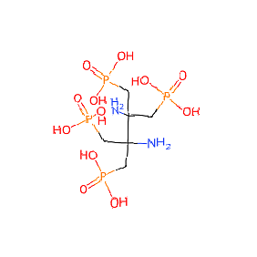 NC(CP(=O)(O)O)(CP(=O)(O)O)C(N)(CP(=O)(O)O)CP(=O)(O)O